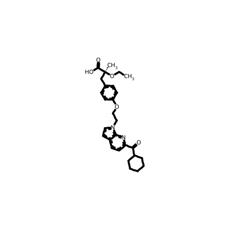 CCO[C@@](C)(Cc1ccc(OCCn2ccc3ccc(C(=O)C4CCCCC4)nc32)cc1)C(=O)O